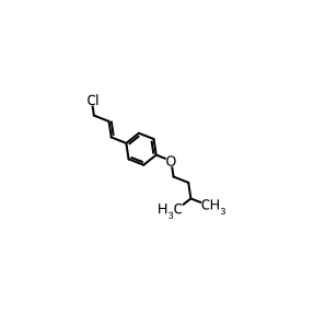 CC(C)CCOc1ccc(C=CCCl)cc1